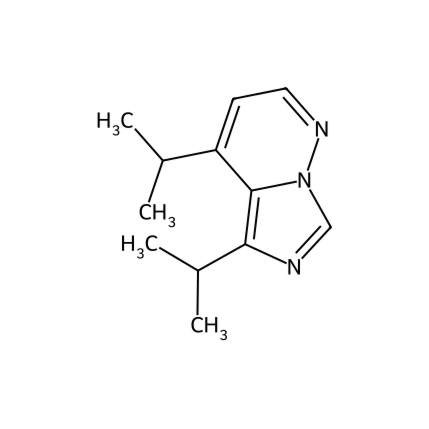 CC(C)c1ccnn2cnc(C(C)C)c12